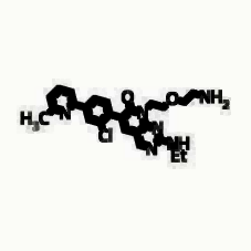 CCNc1ncc2cc(-c3ccc(-c4cccc(C)n4)cc3Cl)c(=O)n(CCOCCN)c2n1